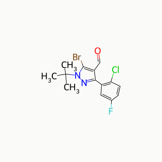 CC(C)(C)n1nc(-c2cc(F)ccc2Cl)c(C=O)c1Br